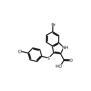 O=C(O)c1[nH]c2cc(Br)ccc2c1Sc1ccc(Cl)cc1